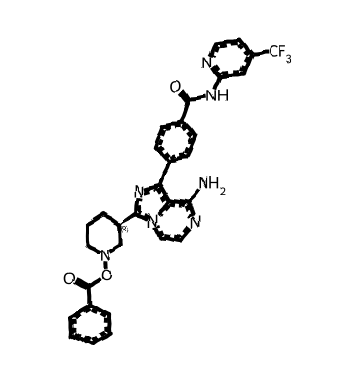 Nc1nccn2c([C@@H]3CCCN(OC(=O)c4ccccc4)C3)nc(-c3ccc(C(=O)Nc4cc(C(F)(F)F)ccn4)cc3)c12